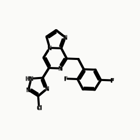 Fc1ccc(F)c(Cc2nc(-c3nc(Cl)n[nH]3)cn3ccnc23)c1